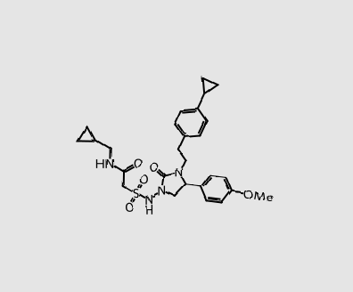 COc1ccc(C2CN(NS(=O)(=O)CC(=O)NCC3CC3)C(=O)N2CCc2ccc(C3CC3)cc2)cc1